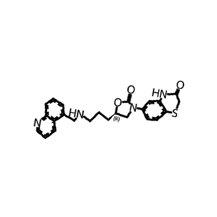 O=C1CSc2ccc(N3C[C@@H](CCCNCc4cccc5ncccc45)OC3=O)cc2N1